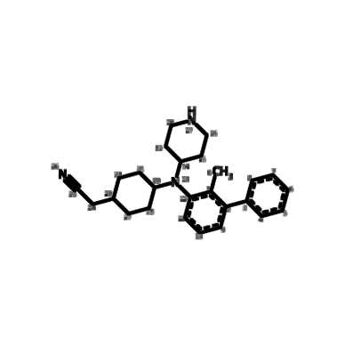 Cc1c(-c2ccccc2)cccc1N(C1CCNCC1)C1CCC(CC#N)CC1